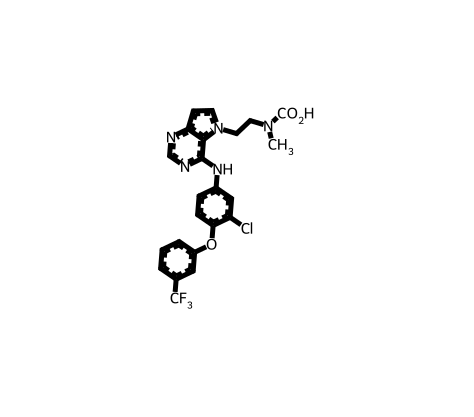 CN(CCn1ccc2ncnc(Nc3ccc(Oc4cccc(C(F)(F)F)c4)c(Cl)c3)c21)C(=O)O